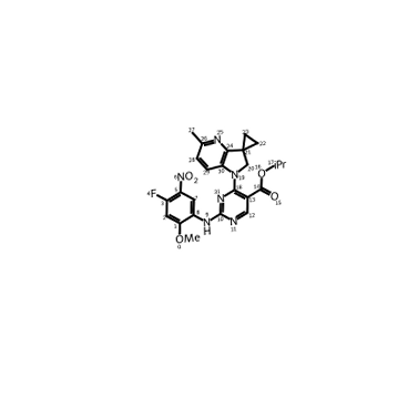 COc1cc(F)c([N+](=O)[O-])cc1Nc1ncc(C(=O)OC(C)C)c(N2CC3(CC3)c3nc(C)ccc32)n1